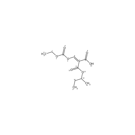 CCOC(=O)OC=C(C(=O)O)C(=O)OC(C)CC